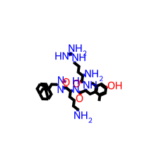 Cc1cc(O)cc(C)c1CC(NC(=O)C(N)CCCNC(=N)N)C(=O)NC(CCCCN)c1nc(CC23CC4CC(CC(C4)C2)C3)no1